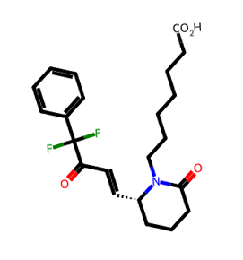 O=C(O)CCCCCCN1C(=O)CCC[C@@H]1/C=C/C(=O)C(F)(F)c1ccccc1